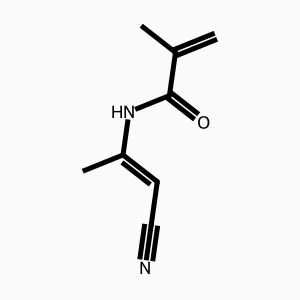 C=C(C)C(=O)NC(C)=CC#N